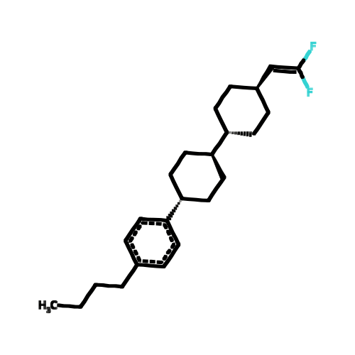 CCCCc1ccc([C@H]2CC[C@H]([C@H]3CC[C@H](C=C(F)F)CC3)CC2)cc1